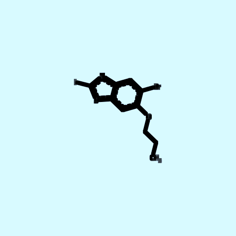 CCCOc1cc2sc(I)nc2cc1Br